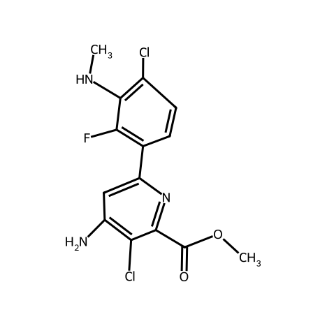 CNc1c(Cl)ccc(-c2cc(N)c(Cl)c(C(=O)OC)n2)c1F